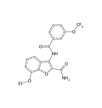 CCOc1cccc2c(NC(=O)c3cccc(OC(F)(F)F)c3)c(C(N)=O)oc12